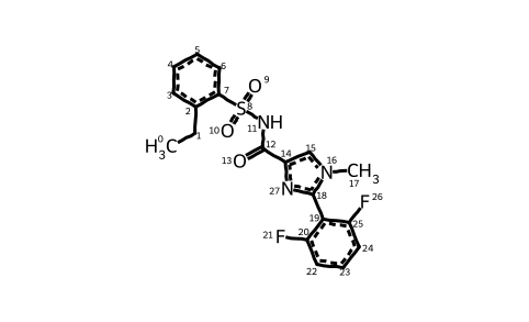 CCc1ccccc1S(=O)(=O)NC(=O)c1cn(C)c(-c2c(F)cccc2F)n1